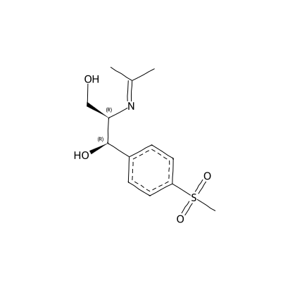 CC(C)=N[C@H](CO)[C@H](O)c1ccc(S(C)(=O)=O)cc1